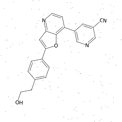 N#Cc1cncc(-c2ccnc3cc(-c4ccc(CCO)cc4)oc23)c1